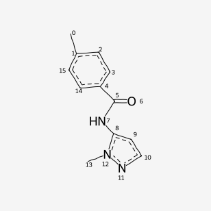 Cc1ccc(C(=O)Nc2ccnn2C)cc1